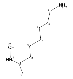 CC(CCCCCCN)NO